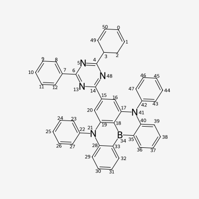 C1=CCC(c2nc(-c3ccccc3)nc(-c3cc4c5c(c3)N(c3ccccc3)c3ccccc3B5c3ccccc3N4c3ccccc3)n2)C=C1